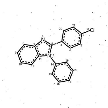 Clc1ccc(-c2nc3ccccc3n2-c2ccccc2)cc1